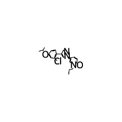 CCCn1cc(-n2cc(-c3ccc(OC(C)C)cc3Cl)cn2)ccc1=O